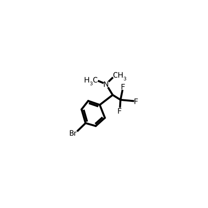 CN(C)C(c1ccc(Br)cc1)C(F)(F)F